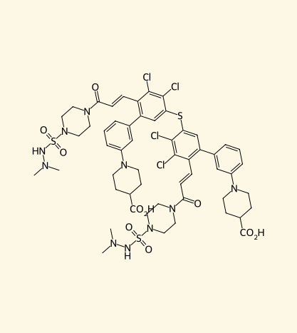 CN(C)NS(=O)(=O)N1CCN(C(=O)/C=C/c2c(-c3cccc(N4CCC(C(=O)O)CC4)c3)cc(Sc3cc(-c4cccc(N5CCC(C(=O)O)CC5)c4)c(/C=C/C(=O)N4CCN(S(=O)(=O)NN(C)C)CC4)c(Cl)c3Cl)c(Cl)c2Cl)CC1